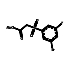 COC(=O)CS(=O)(=O)c1cc(F)cc(Br)c1